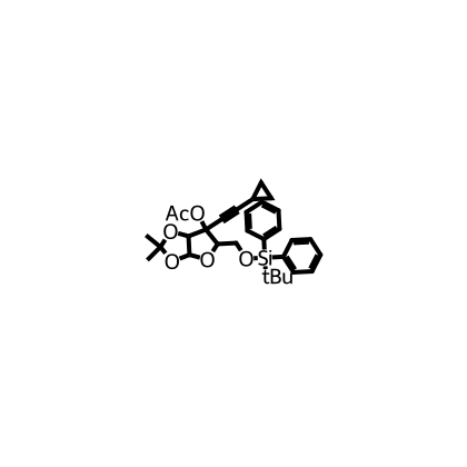 CC(=O)OC1(C#CC2CC2)C(CO[Si](c2ccccc2)(c2ccccc2)C(C)(C)C)OC2OC(C)(C)OC21